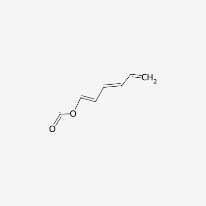 C=C/C=C/C=C/O[C]=O